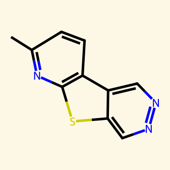 Cc1ccc2c(n1)sc1cnncc12